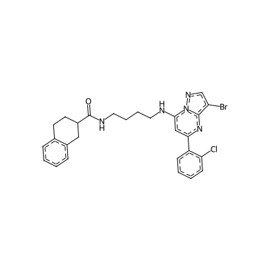 O=C(NCCCCNc1cc(-c2ccccc2Cl)nc2c(Br)cnn12)C1CCc2ccccc2C1